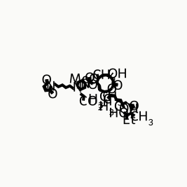 CCC(O)C(C)[C@H]1O[C@@H]1CC(C)(O)/C=C/C=C(\C)[C@H]1OC(=O)C[C@H](O)CC[C@@](C)(OC)[C@@H](OC(=O)N2CCN(CCCCCCN3C(=O)C=CC3=O)[C@@H](CCC(=O)O)C2)/C=C/[C@@H]1C